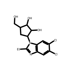 CCc1nc2cc(Cl)c(Cl)cc2n1C1CC(CO)C(O)C1O